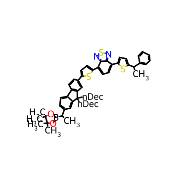 CCCCCCCCCCC1(CCCCCCCCCC)c2cc(-c3ccc(-c4ccc(-c5ccc(C(C)c6ccccc6)s5)c5nsnc45)s3)ccc2-c2ccc(C(C)B3OC(C)(C)C(C)(C)O3)cc21